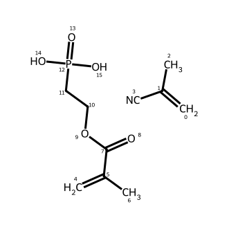 C=C(C)C#N.C=C(C)C(=O)OCCP(=O)(O)O